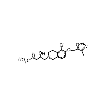 Cc1ncoc1COc1ccc2c(c1Cl)CCN(CC(O)CNC(=O)O)C2